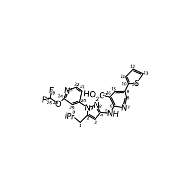 CC(C)Cc1cc(Nc2ncc(-c3cccs3)cc2C(=O)O)nn1-c1ccnc(OC(F)F)c1